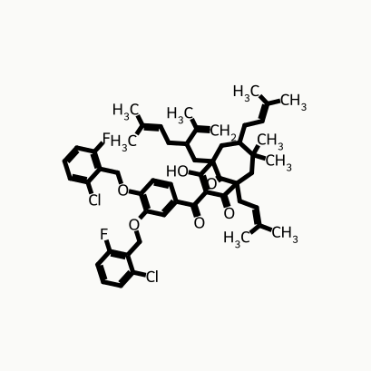 C=C(C)C(CC=C(C)C)CC12CC(CC=C(C)C)C(C)(C)CC(CC=C(C)C)(C(=O)C(C(=O)c3ccc(OCc4c(F)cccc4Cl)c(OCc4c(F)cccc4Cl)c3)=C1O)C2=O